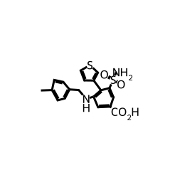 Cc1ccc(CNc2cc(C(=O)O)cc(S(N)(=O)=O)c2-c2ccsc2)cc1